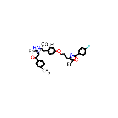 CC/C(=C\C(=O)c1ccc(C(F)(F)F)cc1)N[C@@H](Cc1ccc(OCCCc2nc(-c3ccc(F)cc3)oc2CC)cc1)C(=O)O